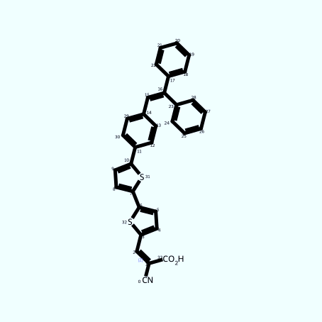 N#C/C(=C/c1ccc(-c2ccc(-c3ccc(C=C(c4ccccc4)c4ccccc4)cc3)s2)s1)C(=O)O